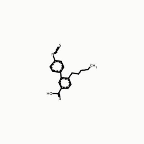 CCCCCc1ccc(C(O)=S)cc1-c1ccc(N=C=S)cc1